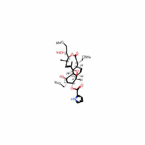 COC[C@@H]1[C@@H](O)[C@@H]2[C@H]3C=C[C@@H]4[C@@H](COC)C(=O)O[C@H]([C@H](O)COC)[C@H](C)/C=C(\C)[C@@]24O[C@H]3[C@@H]1OC(=O)c1ccc[nH]1